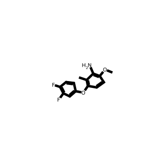 COc1ccc(Oc2ccc(F)c(F)c2)c(C)c1N